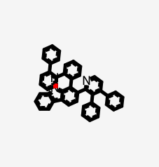 c1ccc(-c2ccccc2-c2ccccc2-c2c(-c3nccc(-c4ccccc4)c3-c3ccccc3)ccc3c2[nH]c2ccccc23)cc1